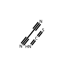 N#CC#N.N=C=S